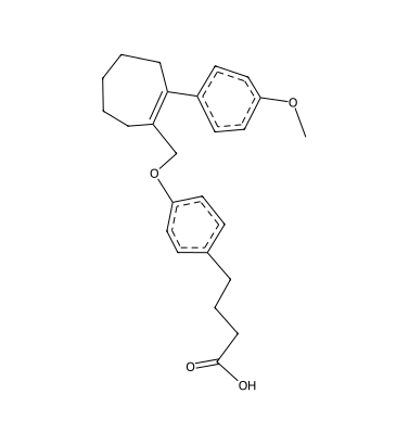 COc1ccc(C2=C(COc3ccc(CCCC(=O)O)cc3)CCCCC2)cc1